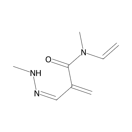 C=CN(C)C(=O)C(=C)/C=N\NC